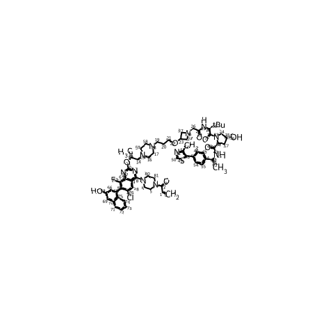 C=CC(=O)N1CCN(c2nc(O[C@H](C)CN3CCN(CCCOC4CN(CC(=O)N[C@H](C(=O)N5C[C@H](O)C[C@H]5C(=O)N[C@@H](C)c5ccc(-c6scnc6C)cc5)C(C)(C)C)C4)CC3)nc3c(F)c(-c4cc(O)cc5ccccc45)c(Cl)cc23)CC1